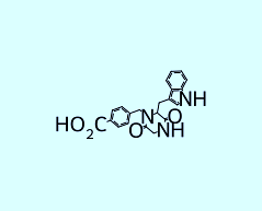 O=C(O)c1ccc(CN2C(=O)CNC(=O)C2Cc2c[nH]c3ccccc23)cc1